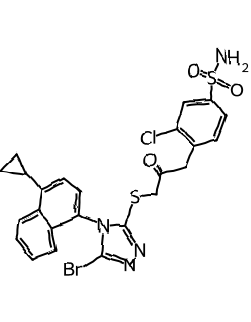 NS(=O)(=O)c1ccc(CC(=O)CSc2nnc(Br)n2-c2ccc(C3CC3)c3ccccc23)c(Cl)c1